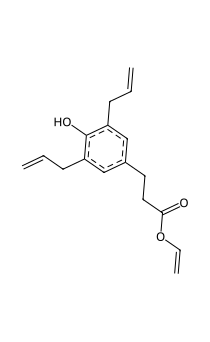 C=CCc1cc(CCC(=O)OC=C)cc(CC=C)c1O